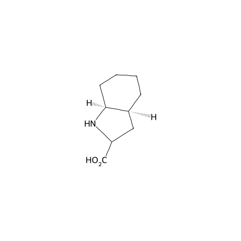 O=C(O)C1C[C@@H]2CCCC[C@@H]2N1